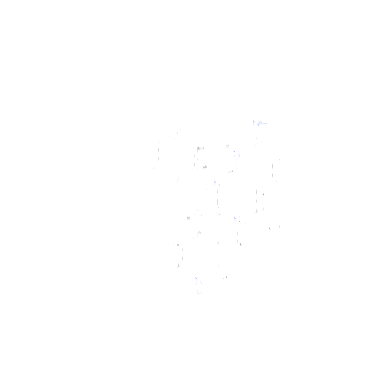 Nc1ccc2c(=O)n(Cc3cccnc3)c(=O)n(-c3ccccc3)c2n1